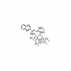 CC1(C)CC(N/C(N)=C/C=C(\N)c2cnc3ccccc3n2)CC(C)(C)N1